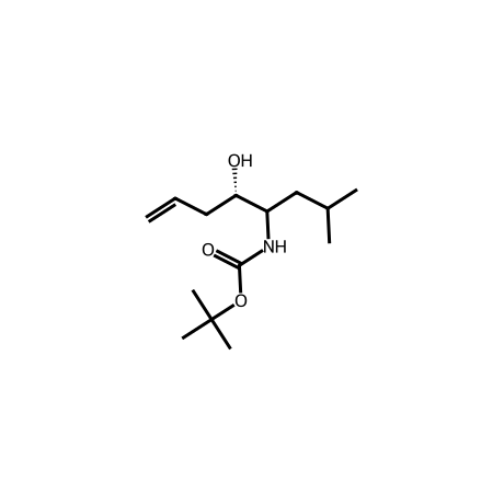 C=CC[C@H](O)C(CC(C)C)NC(=O)OC(C)(C)C